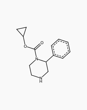 O=C(OC1CC1)N1CCNCC1c1ccccc1